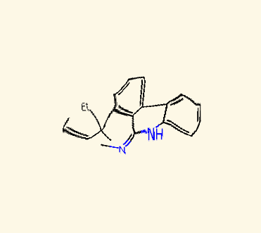 C/C=C\C(C)(CC)c1cccc2c1/c(=N\C)[nH]c1ccccc12